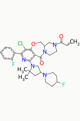 C=CC(=O)N1CCN2C(=O)c3c(N4CC(N5CCC(F)CC5)CC4(C)C)nc(-c4ccccc4F)c(Cl)c3OCC2C1